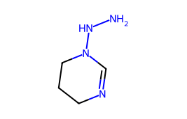 NNN1C=NCCC1